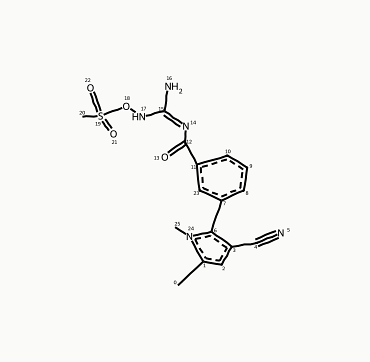 Cc1cc(C#N)c(-c2cccc(C(=O)N=C(N)NOS(C)(=O)=O)c2)n1C